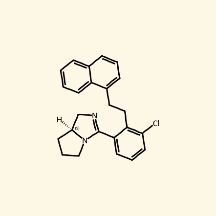 Clc1cccc(C2=NC[C@@H]3CCCN23)c1CCc1cccc2ccccc12